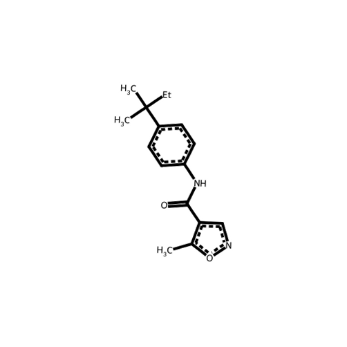 CCC(C)(C)c1ccc(NC(=O)c2cnoc2C)cc1